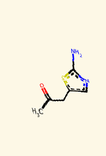 CC(=O)Cc1cnc(N)s1